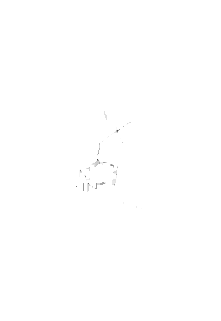 Cc1cc(CC(F)(F)F)n[nH]1